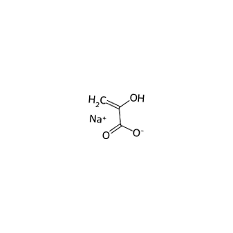 C=C(O)C(=O)[O-].[Na+]